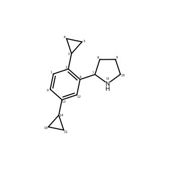 c1cc(C2CC2)c(C2CCCN2)cc1C1CC1